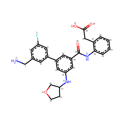 NCc1cc(F)cc(-c2cc(NC3CCOC3)cc(C(=O)Nc3ccccc3CC(=O)O)c2)c1